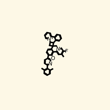 Cc1cc2[n+](cc1F)CC1(CC3C1c1ccccc1-c1cccc[n+]13)c1ccc3c(oc4nc(-c5c(C)cccc5C)ccc43)c1-2